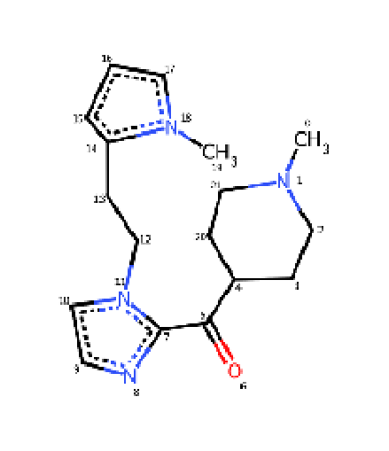 CN1CCC(C(=O)c2nccn2CCc2cccn2C)CC1